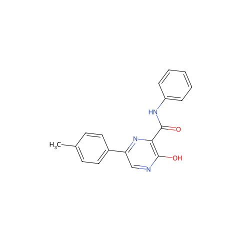 Cc1ccc(-c2cnc(O)c(C(=O)Nc3ccccc3)n2)cc1